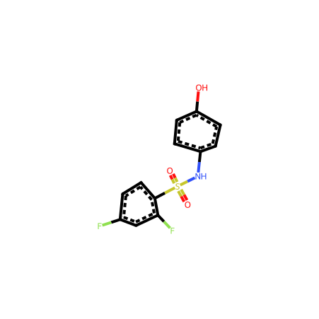 O=S(=O)(Nc1ccc(O)cc1)c1ccc(F)cc1F